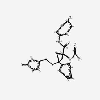 Cc1nnc(CCC2(c3ccccc3)CC2(OC(=O)C(F)(F)F)C(=O)Nc2ccc(Cl)cn2)o1